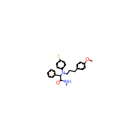 CNC(=O)C(c1ccccc1)N(CCCc1ccc(OC)cc1)c1ccc(F)cc1